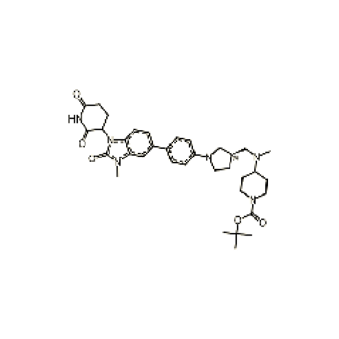 CN(C[C@H]1CCN(c2ccc(-c3ccc4c(c3)n(C)c(=O)n4C3CCC(=O)NC3=O)cc2)C1)C1CCN(C(=O)OC(C)(C)C)CC1